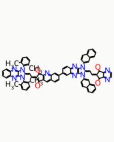 Cc1cccc(C)c1N1C(=C/C=C2/C(=O)c3cc4ccc(-c5ccc6nc7c(nc6c5)N(c5ccc6ccccc6c5)/C(=C\C=C5C(=O)c6nccnc6C5=O)N7c5ccc6ccccc6c5)cc4nc3C2=O)N(c2c(C)cccc2C)c2nc3ccccc3nc21